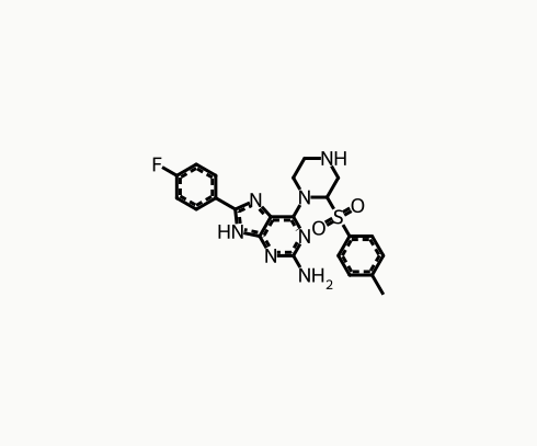 Cc1ccc(S(=O)(=O)C2CNCCN2c2nc(N)nc3[nH]c(-c4ccc(F)cc4)nc23)cc1